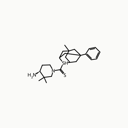 CC12CC3CC(c4ccccc4)(CC(C1)[SH]3C(=S)N1CC[C@H](N)C(C)(C)C1)C2